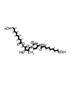 C=C1[C@H](n2ccc(NC(=O)CCCCCCCCCCCCCCCCC)nc2=O)O[C@H](COC(=O)CCCCCCCCCCCCCCCCC)[C@H]1O